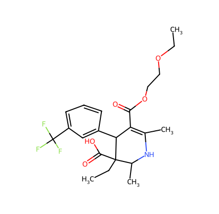 CCOCCOC(=O)C1=C(C)NC(C)C(CC)(C(=O)O)C1c1cccc(C(F)(F)F)c1